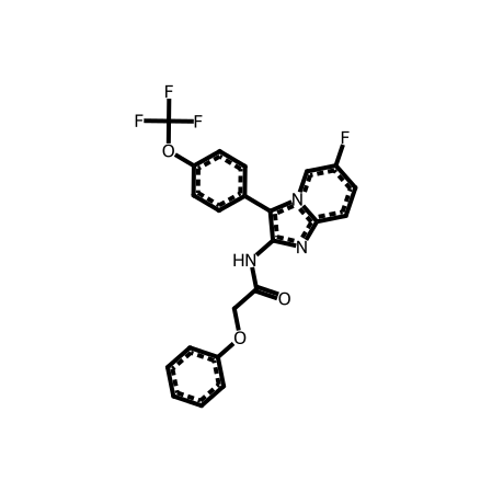 O=C(COc1ccccc1)Nc1nc2ccc(F)cn2c1-c1ccc(OC(F)(F)F)cc1